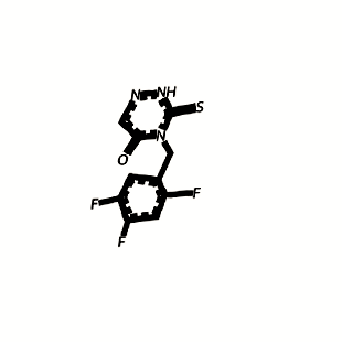 O=c1cn[nH]c(=S)n1Cc1cc(F)c(F)cc1F